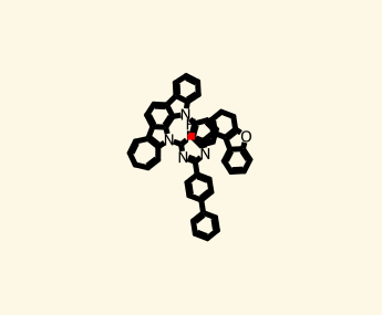 C1=Cc2c(n(C3N=C(c4ccc(-c5ccccc5)cc4)N=C(C4=CCCc5oc6ccccc6c54)N3)c3c2ccc2c4ccccc4n(-c4ccccc4)c23)C=CC1